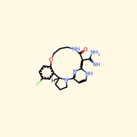 N=C(N)/C1=C2/N=C(C=CN2)N2CCC[C@@H]2c2cc(F)ccc2OCCCNC1=O